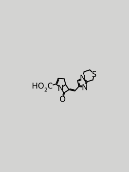 O=C(O)C1=CCC2/C(=C\c3cn4c(n3)CSCC4)C(=O)N12